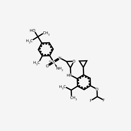 Cc1cc(C(C)(C)O)ccc1[S@@](N)(=O)=NC1OC1Nc1c(C(C)C)cc(OC(F)F)cc1C1CC1